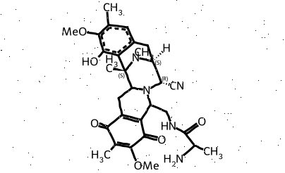 COC1=C(C)C(=O)C2=C(C1=O)C(CNC(=O)C(C)N)N1C(C2)[C@]2(C)c3c(cc(C)c(OC)c3O)C[C@@H]([C@@H]1C#N)N2C